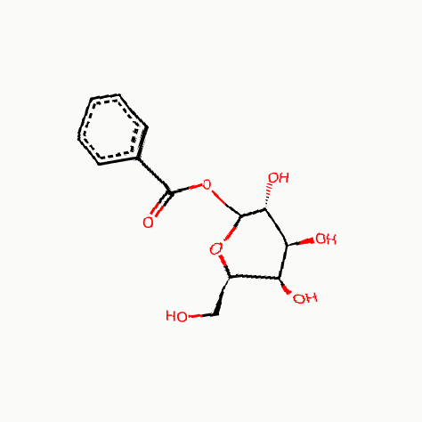 O=C(OC1O[C@H](CO)[C@H](O)[C@H](O)[C@H]1O)c1ccccc1